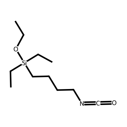 CCO[Si](CC)(CC)CCCCN=C=O